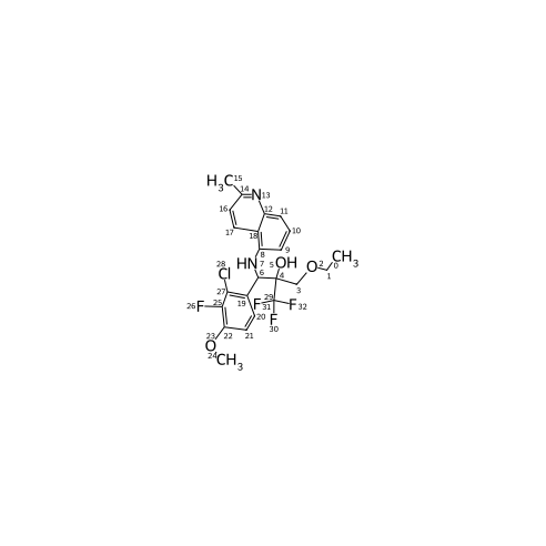 CCOCC(O)(C(Nc1cccc2nc(C)ccc12)c1ccc(OC)c(F)c1Cl)C(F)(F)F